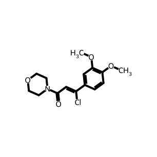 COc1ccc(C(Cl)=CC(=O)N2CCOCC2)cc1OC